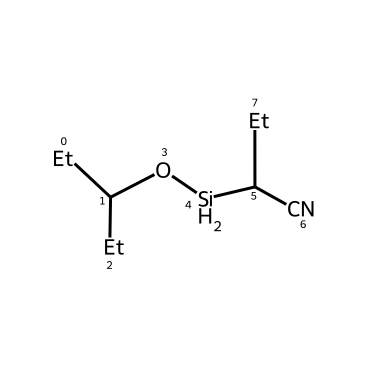 CCC(CC)O[SiH2]C(C#N)CC